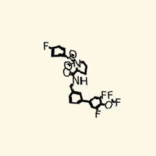 O=C(NCc1cccc(-c2cc(F)c(OC(F)F)c(F)c2)c1)C1CCCN1S(=O)(=O)c1ccc(F)cc1